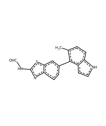 Cc1ccc2[nH]ccc2c1-c1ccc2nc(NC=O)sc2c1